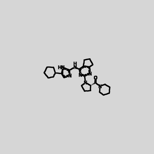 O=C([C@@H]1CCCN1c1nc2c(c(Nc3ncc(C4CCCCC4)[nH]3)n1)CCC2)N1CCCCC1